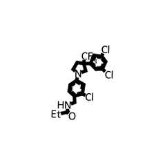 CCC(=O)NCc1ccc(N2CCC(c3cc(Cl)cc(Cl)c3)(C(F)(F)F)C2)cc1Cl